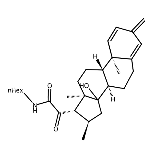 CCCCCCNC(=O)C(=O)[C@H]1[C@H](C)CC2(O)[C@@H]3CCC4=CC(=O)C=C[C@]4(C)[C@H]3CC[C@]12C